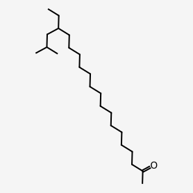 CCC(CCCCCCCCCCCCCCC(C)=O)CC(C)C